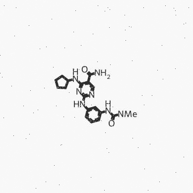 CNC(=O)Nc1cccc(Nc2ncc(C(N)=O)c(NC3CCCC3)n2)c1